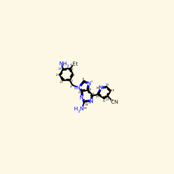 CCc1cc(Cn2cnc3c(-c4cc(C#N)ccn4)nc(N)nc32)ccc1N